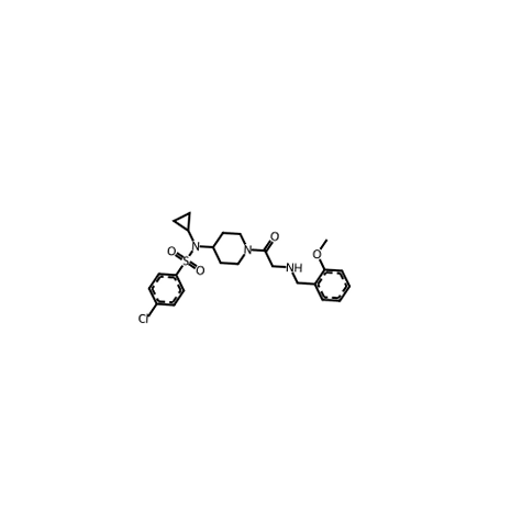 COc1ccccc1CNCC(=O)N1CCC(N(C2CC2)S(=O)(=O)c2ccc(Cl)cc2)CC1